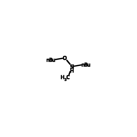 CCCCO[SiH](C)CCCC